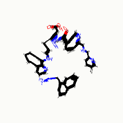 NCc1cccc2ccccc12.O=C(N[C@@H](CCCNC1CCCc2cccnc21)C(=O)O)c1ccc(CNCc2ccccn2)nc1